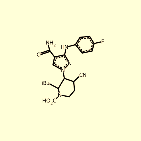 CCC(C)C1C(n2cc(C(N)=O)c(Nc3ccc(F)cc3)n2)C(C#N)CCN1C(=O)O